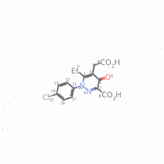 CCc1c(CC(=O)O)c(=O)c(C(=O)O)nn1-c1ccc(Cl)cc1